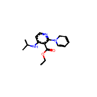 CCOC(=O)c1c(NC(C)C)ccnc1N1C=CC=CC1